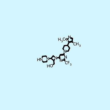 Cc1cnn(C)c1C1CCN(c2cc(N3CC(N4CCNCC4)C3CO)nc(C(F)(F)F)n2)CC1